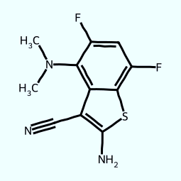 CN(C)c1c(F)cc(F)c2sc(N)c(C#N)c12